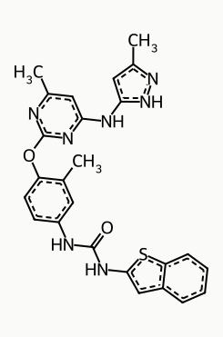 Cc1cc(Nc2cc(C)nc(Oc3ccc(NC(=O)Nc4cc5ccccc5s4)cc3C)n2)[nH]n1